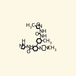 Cc1cc(NC(=O)Nc2ccc(-c3cc(C(=O)Nc4ccn[nH]4)ccc3N3CCN(C)CC3)cc2C)no1